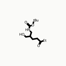 CCC(=O)CCC(CO)CNC(=O)OC(C)(C)C